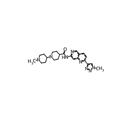 CN1CCC(N2CCC(C(=O)Nc3cc4nc(-c5cn(C)nn5)ccc4cn3)CC2)CC1